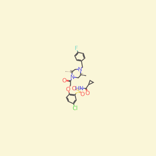 C[C@@H]1CN(Cc2ccc(F)cc2)[C@@H](C)CN1C(=O)COc1ccc(Cl)cc1S(=O)(=O)NC(=O)C1CC1